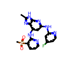 Cc1nc2c(Nc3ncccc3S(C)(=O)=O)cc(Nc3cc(F)ccn3)nc2[nH]1